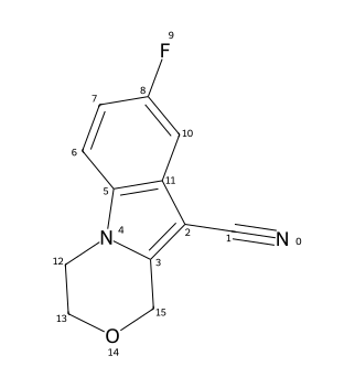 N#Cc1c2n(c3ccc(F)cc13)CCOC2